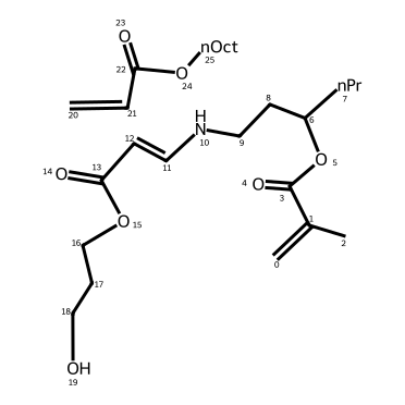 C=C(C)C(=O)OC(CCC)CCNC=CC(=O)OCCCO.C=CC(=O)OCCCCCCCC